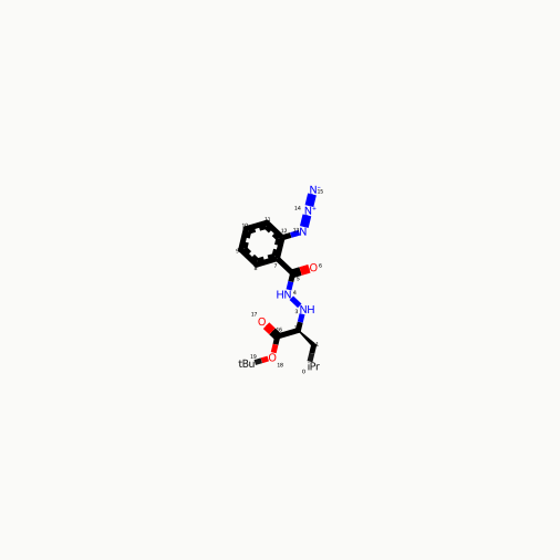 CC(C)C[C@H](NNC(=O)c1ccccc1N=[N+]=[N-])C(=O)OC(C)(C)C